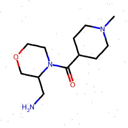 CN1CCC(C(=O)N2CCOCC2CN)CC1